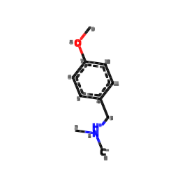 [CH2-][NH+](C)Cc1ccc(OC)cc1